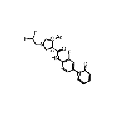 CC(=O)[C@H]1CN(CC(F)F)C[C@@H]1C(=O)Nc1ccc(-n2ccccc2=O)cc1F